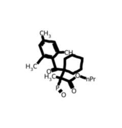 CCCOC(=O)C(C)(P=O)C1(C(=O)c2c(C)cc(C)cc2C)CCCCC1